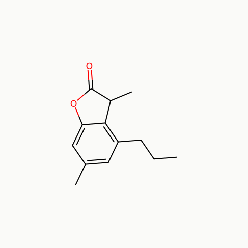 CCCc1cc(C)cc2c1C(C)C(=O)O2